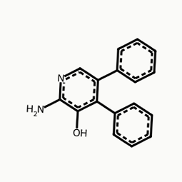 Nc1ncc(-c2ccccc2)c(-c2ccccc2)c1O